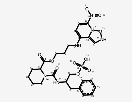 O=C(OCCCNC1=CC=C([N+](=O)[O-])N2ONC=C12)C1CCCCN1C(=O)NC(COS(=O)(=O)O)Cc1ccccc1